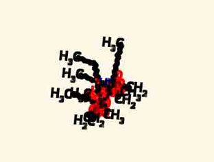 C=CCOP(=O)(OCC=C)O[C@H]1[C@H](OCC[C@H](CCCCCCC)OC)[C@@H](OC(=O)CCCCCCCCC/C=C\CCCCCC)[C@H](OC[C@H]2O[C@H](OCC)[C@](NC(=O)CC(=O)CCCCCCCCCCC)(OP(=O)(OCC=C)OCC=C)[C@@H](OCCCCCCCCCC)[C@@H]2O)O[C@@H]1COC